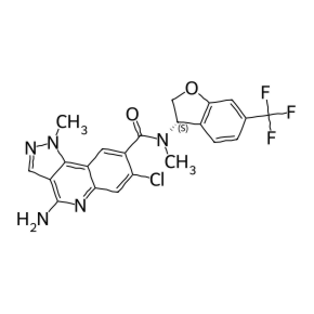 CN(C(=O)c1cc2c(cc1Cl)nc(N)c1cnn(C)c12)[C@@H]1COc2cc(C(F)(F)F)ccc21